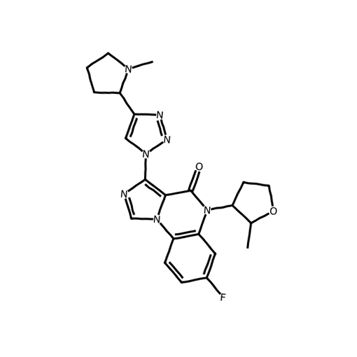 CC1OCCC1n1c(=O)c2c(-n3cc(C4CCCN4C)nn3)ncn2c2ccc(F)cc21